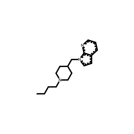 CCCCN1CCC(Cn2ccc3cccnc32)CC1